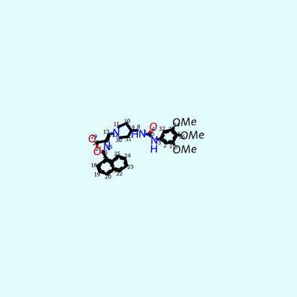 COc1cc(NC(=O)NCC2CCN(C=C3N=C(c4cccc5ccccc45)OC3=O)CC2)cc(OC)c1OC